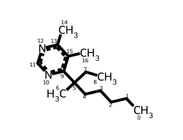 CCCCCC(C)(CC)c1ncnc(C)c1C